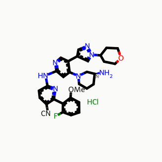 COc1cccc(F)c1-c1nc(Nc2cc(N3CCC[C@H](N)C3)c(-c3cnn(C4CCOCC4)c3)cn2)ccc1C#N.Cl